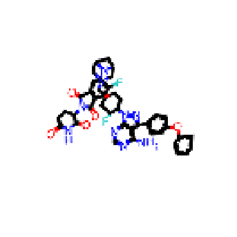 Nc1ncnc2c1c(-c1ccc(Oc3ccccc3)cc1)nn2C1CCC(CN2CC3CC(C2)N3c2cc3c(cc2F)C(=O)N(C2CCC(=O)NC2=O)C3=O)CC1F